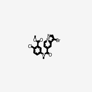 COC(=O)c1cc(N(C)C(=O)c2ccn3ncc(Br)c3c2)ccc1Cl